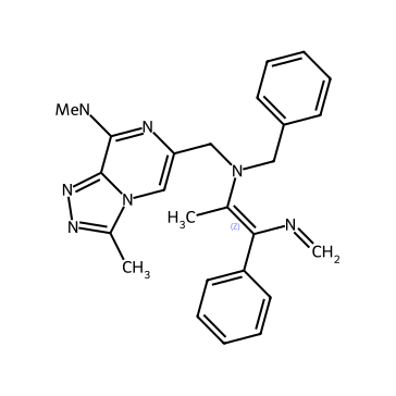 C=N/C(=C(/C)N(Cc1ccccc1)Cc1cn2c(C)nnc2c(NC)n1)c1ccccc1